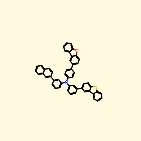 c1cc(-c2ccc3ccccc3c2)cc(N(c2ccc(-c3ccc4oc5ccccc5c4c3)cc2)c2cccc(-c3ccc4sc5ccccc5c4c3)c2)c1